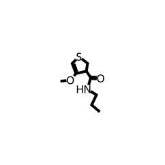 CCCNC(=O)C1CSC=C1OC